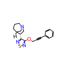 C(#Cc1ccccc1)COc1nsnc1[C@H]1CN2CCC[C@@H]1C2